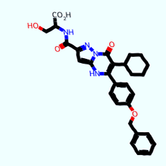 O=C(NC(CO)C(=O)O)c1cc2[nH]c(-c3ccc(OCc4ccccc4)cc3)c(C3CCCCC3)c(=O)n2n1